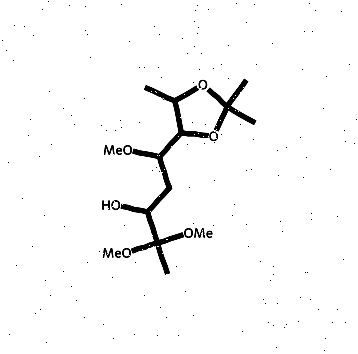 COC(CC(O)C(C)(OC)OC)C1OC(C)(C)OC1C